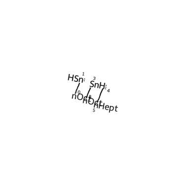 CCCCCCC[CH2][SnH].CCCCCCC[CH2][SnH].[CH2]CCCCCCC